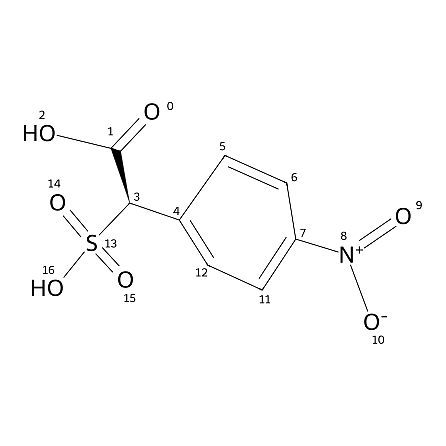 O=C(O)[C@@H](c1ccc([N+](=O)[O-])cc1)S(=O)(=O)O